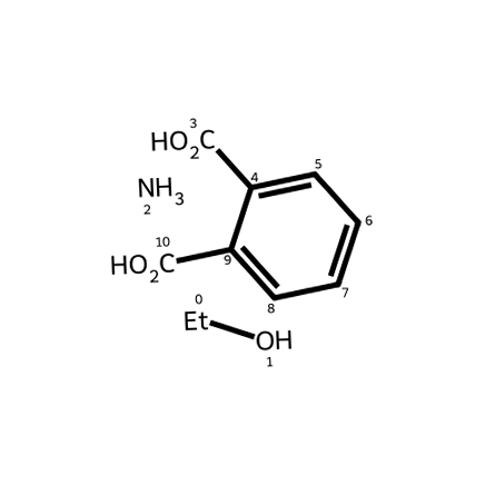 CCO.N.O=C(O)c1ccccc1C(=O)O